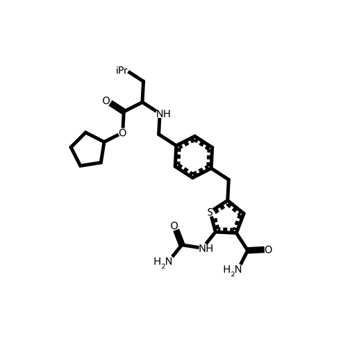 CC(C)CC(NCc1ccc(Cc2cc(C(N)=O)c(NC(N)=O)s2)cc1)C(=O)OC1CCCC1